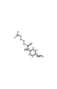 CN(C)CCCCC(=O)Nc1ccc(N)cc1